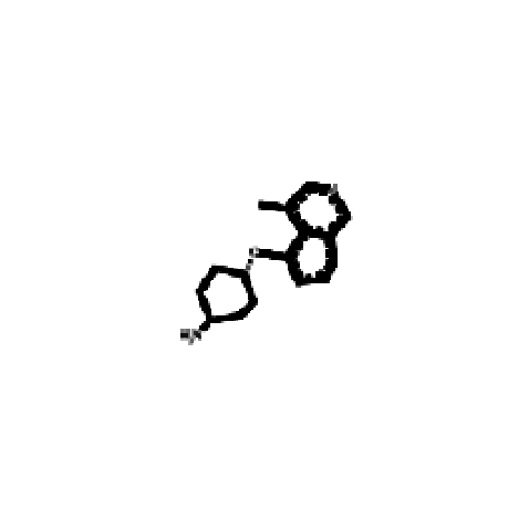 Cc1cncc2cccc(O[C@H]3CC[C@H](N)CC3)c12